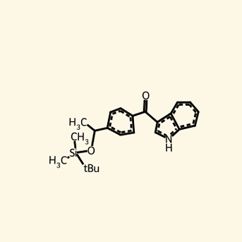 CC(O[Si](C)(C)C(C)(C)C)c1ccc(C(=O)c2c[nH]c3ccccc23)cc1